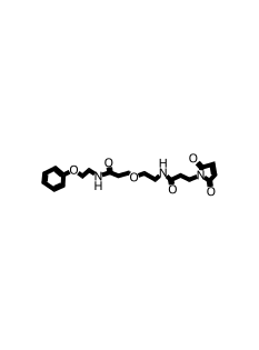 O=C(CCOCCNC(=O)CCN1C(=O)C=CC1=O)NCCOc1ccccc1